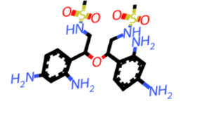 CS(=O)(=O)NCC(OC(CNS(C)(=O)=O)c1ccc(N)cc1N)c1ccc(N)cc1N